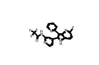 O=C(Nc1cc(-c2[nH]c3ccc(F)nc3c2-c2ccccn2)ccn1)C(F)(F)F